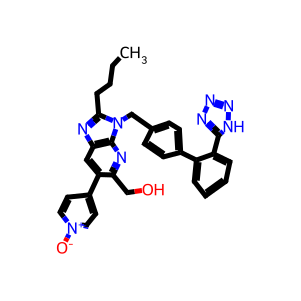 CCCCc1nc2cc(-c3cc[n+]([O-])cc3)c(CO)nc2n1Cc1ccc(-c2ccccc2-c2nnn[nH]2)cc1